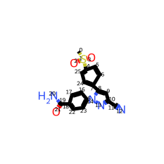 CS(=O)(=O)c1ccc(-c2cc(C#N)nn2-c2ccc(C(N)=O)cc2)cc1